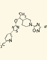 Cc1ccc(-c2nc(OC(C)C3CCN(c4nc(C(C)C)no4)CC3)ns2)cn1